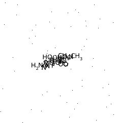 C[C@H](NP(=O)(OC[C@@]1(CF)O[C@@H](c2ccc3c(N)ncnn23)[C@H](O)[C@@H]1O)Oc1ccccc1)C(=O)O[C@@H]1CCN(C)C1